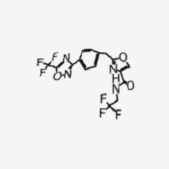 O=C(NCC(F)(F)F)c1coc(Cc2ccc(-c3noc(C(F)(F)F)n3)cc2)n1